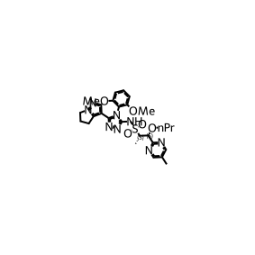 CCCO[C@@H](c1ncc(C)cn1)[C@H](C)S(=O)(=O)Nc1nnc(-c2cnn3c2CCC3)n1-c1c(OC)cccc1OC